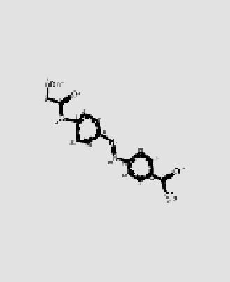 CCCCCCCCCCCC(=O)Oc1ccc(N=Nc2ccc(C(=O)C(F)(F)F)cc2)cc1